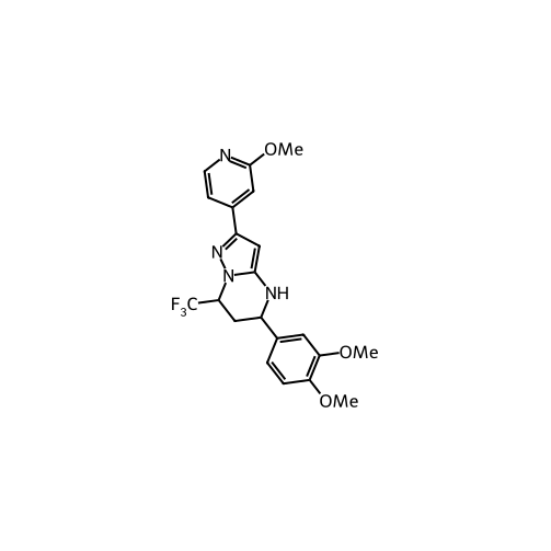 COc1cc(-c2cc3n(n2)C(C(F)(F)F)CC(c2ccc(OC)c(OC)c2)N3)ccn1